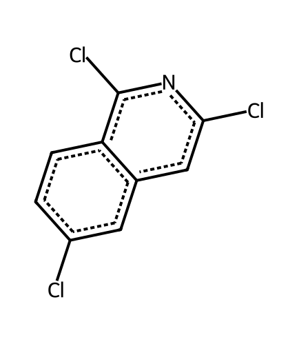 Clc1ccc2c(Cl)nc(Cl)cc2c1